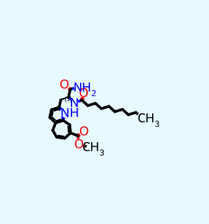 CCCCCCCCCC(=O)N[C@@H](Cc1ccc2c(n1)C=C(C(=O)OC)C=CC2)C(N)=O